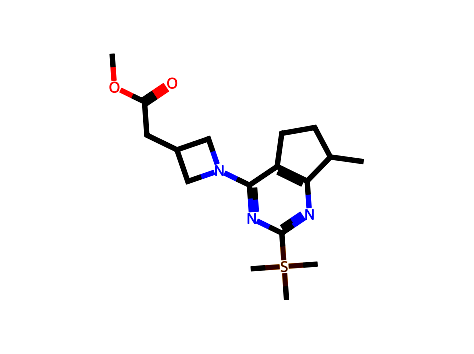 COC(=O)CC1CN(c2nc(S(C)(C)C)nc3c2CCC3C)C1